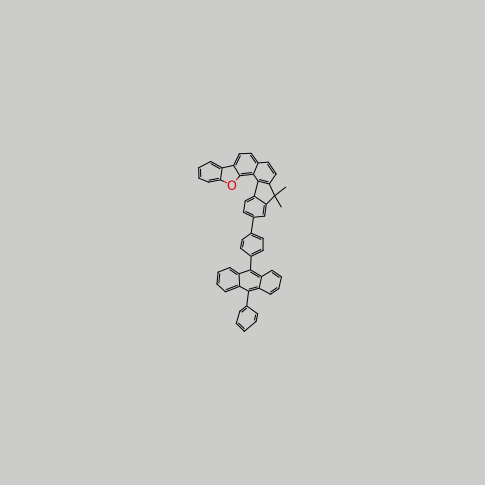 CC1(C)c2cc(-c3ccc(-c4c5ccccc5c(-c5ccccc5)c5ccccc45)cc3)ccc2-c2c1ccc1ccc3c4ccccc4oc3c21